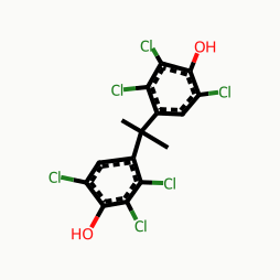 CC(C)(c1cc(Cl)c(O)c(Cl)c1Cl)c1cc(Cl)c(O)c(Cl)c1Cl